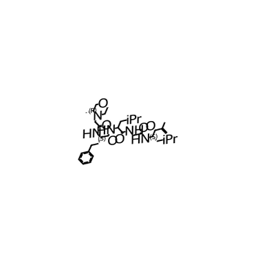 C=C(C)C(=O)[C@H](CC(C)C)NC(=O)CNC(=O)C(CC(C)C)NC(=O)[C@H](CCc1ccccc1)NC(=O)CN1CCOC[C@H]1C